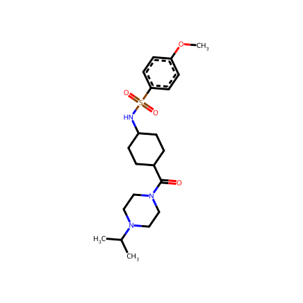 COc1ccc(S(=O)(=O)NC2CCC(C(=O)N3CCN(C(C)C)CC3)CC2)cc1